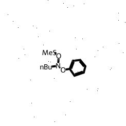 CCCCN(OSC)Oc1ccccc1